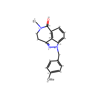 CCN1CCc2nn(Cc3ccc(OC)cc3)c3cccc(c23)C1=O